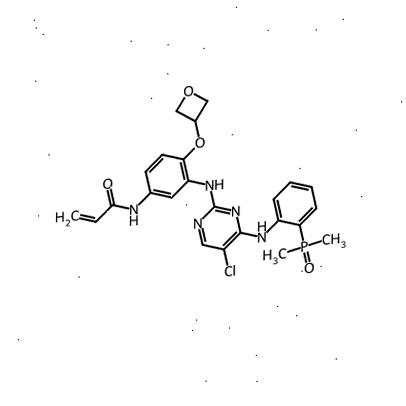 C=CC(=O)Nc1ccc(OC2COC2)c(Nc2ncc(Cl)c(Nc3ccccc3P(C)(C)=O)n2)c1